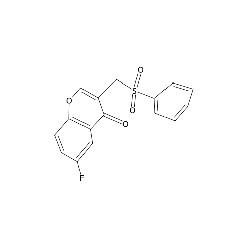 O=c1c(CS(=O)(=O)c2ccccc2)coc2ccc(F)cc12